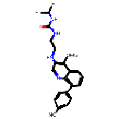 CCC(CC)NC(=O)NCCNc1cnc2c(-c3ccc(C#N)cc3)cccc2c1OC